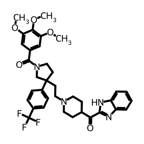 COc1cc(C(=O)N2CCC(CCN3CCC(C(=O)c4nc5ccccc5[nH]4)CC3)(c3ccc(C(F)(F)F)cc3)C2)cc(OC)c1OC